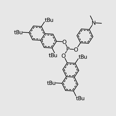 CN(C)c1ccc(OP(Oc2cc3c(C(C)(C)C)cc(C(C)(C)C)cc3cc2C(C)(C)C)Oc2cc3c(C(C)(C)C)cc(C(C)(C)C)cc3cc2C(C)(C)C)cc1